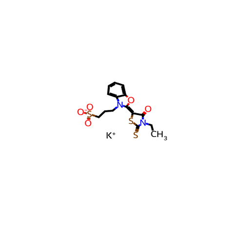 CCN1C(=O)C(=C2Oc3ccccc3N2CCCS(=O)(=O)[O-])SC1=S.[K+]